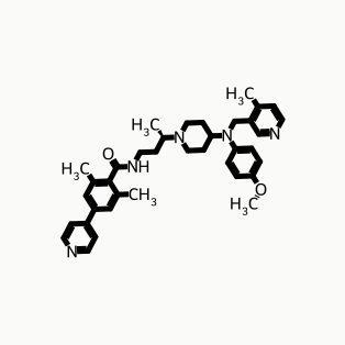 COc1ccc(N(Cc2cnccc2C)C2CCN([C@H](C)CCNC(=O)c3c(C)cc(-c4ccncc4)cc3C)CC2)cc1